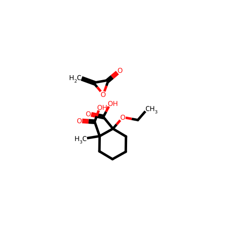 C=C1OC1=O.CCOC1(C(=O)O)CCCCC1(C)C(=O)O